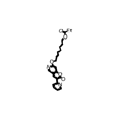 CCC(=O)OCCCCCCCCOc1cc2oc(=O)c(-c3ccccn3)cc2cn1